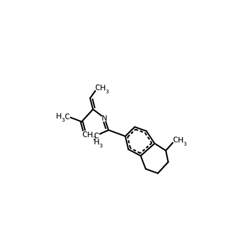 C=C(C)C(=C/C)/N=C(\C)c1ccc2c(c1)CCCC2C